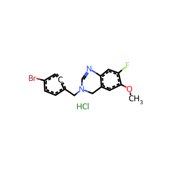 COc1cc2c(cc1F)N=CN(Cc1ccc(Br)cc1)C2.Cl